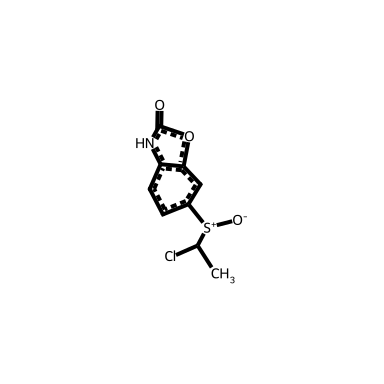 CC(Cl)[S+]([O-])c1ccc2[nH]c(=O)oc2c1